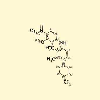 Cc1c(Nc2ccc3c(c2)OCC(=O)N3)ccc(N2CCC(C(F)(F)F)CC2)c1C